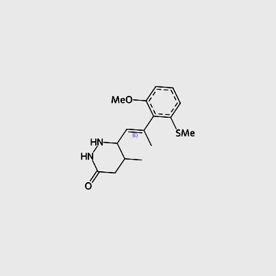 COc1cccc(SC)c1/C(C)=C/C1NNC(=O)CC1C